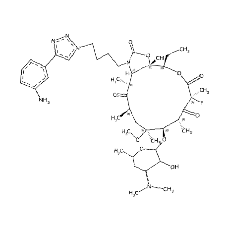 CC[C@H]1OC(=O)[C@@](C)(F)C(=O)[C@H](C)[C@@H](OC2OC(C)CC(N(C)C)C2O)[C@@](C)(OC)C[C@@H](C)C(=O)[C@H](C)[C@H]2N(CCCCn3cc(-c4cccc(N)c4)nn3)C(=O)O[C@]12C